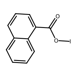 O=C(OI)c1cccc2ccccc12